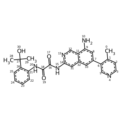 Cc1ccncc1-c1cc(N)c2cnc(NC(=O)C(=O)Nc3ccccc3C(C)(C)O)cc2c1